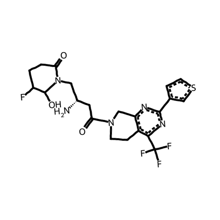 N[C@@H](CC(=O)N1CCc2c(nc(-c3ccsc3)nc2C(F)(F)F)C1)CN1C(=O)CCC(F)C1O